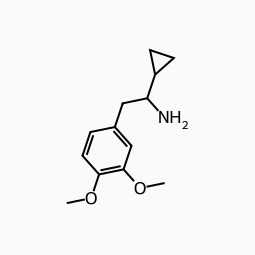 COc1ccc(CC(N)C2CC2)cc1OC